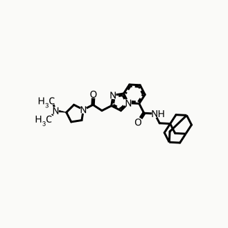 CN(C)[C@@H]1CCN(C(=O)Cc2cn3c(C(=O)NCC45CC6CC(CC(C6)C4)C5)cccc3n2)C1